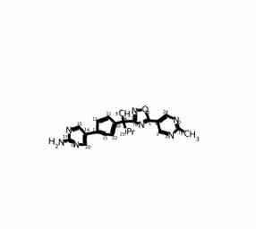 Cc1ncc(-c2nc(C(C)(c3ccc(-c4cnc(N)nc4)cc3)C(C)C)no2)cn1